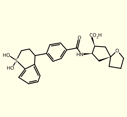 O=C(N[C@@H]1C[C@@]2(CCCO2)C[C@@H]1C(=O)O)c1ccc(C2CCS(O)(O)c3ccccc32)cc1